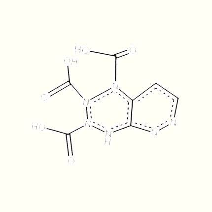 O=C(O)n1[nH]c2nnccc2n(C(=O)O)n1C(=O)O